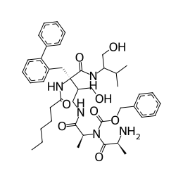 CCCCCC(=O)N[C@@](Cc1ccccc1-c1ccccc1)(C(=O)NC(CO)C(C)C)C(CO)CNC(=O)[C@H](C)N(C(=O)OCc1ccccc1)C(=O)[C@H](C)N